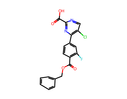 O=C(O)c1ncc(Cl)c(-c2ccc(C(=O)OCc3ccccc3)c(F)c2)n1